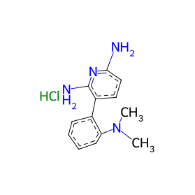 CN(C)c1ccccc1-c1ccc(N)nc1N.Cl